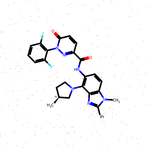 CC(C)c1nc2c(N3CC[C@H](C)C3)c(NC(=O)c3ccc(=O)n(-c4c(F)cccc4F)n3)ccc2n1C